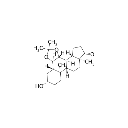 CC1(C)O[C@H]2[C@H](O1)[C@H]1C[C@@H](O)CC[C@]1(C)[C@H]1CC[C@]3(C)C(=O)CC[C@H]3[C@H]21